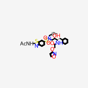 CC(=O)Nc1nc2ccc(S(=O)(=O)N(CC(C)C)C[C@@H](O)[C@H](Cc3ccccc3)NC(=O)COc3ccon3)cc2s1